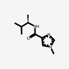 CC(C)[C@@H](C)NC(=O)c1cn(C)cn1